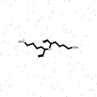 C=CC(CCCCCCCCCCCCCC)OC(C=C)CCCCCCCCCCCCCC